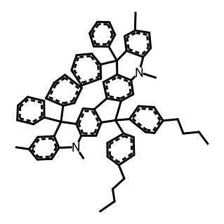 CCCCc1ccc(C2(c3ccc(CCCC)cc3)c3cc4c(cc3-c3cc5c(cc32)N(C)c2ccc(C)cc2C5(c2ccccc2)c2ccccc2)C(c2ccccc2)(c2ccccc2)c2cc(C)ccc2N4C)cc1